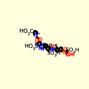 Nc1ccc2c(O)c(N=Nc3ccc4cc(S(=O)(=O)C(CO)(CO)S(=O)(=O)O)ccc4c3S(=O)(=O)O)c(S(=O)(=O)O)cc2c1/N=N\c1ccc(S(=O)(=O)CC[n+]2cccc(C(=O)O)c2)cc1S(=O)(=O)O